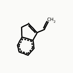 C=CC1=[C]Cc2ccccc21